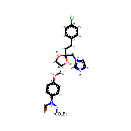 CCOC(=O)NN(C=S)c1ccc(OC[C@@H]2CO[C@](CCc3ccc(Cl)cc3)(Cn3ccnc3)O2)cc1